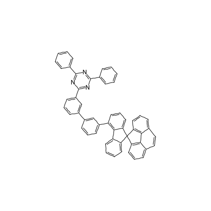 c1ccc(-c2nc(-c3ccccc3)nc(-c3cccc(-c4cccc(-c5cccc6c5-c5ccccc5C65c6cccc7ccc8cccc5c8c67)c4)c3)n2)cc1